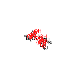 CCC(COCC(CC)(COC(=O)COc1ccc2ccccc2c1)COC(=O)C1CCCCC1C(=O)O)(COC(=O)CCCCC(=O)OCC(CC)(COCC(CC)(COC(=O)COc1ccc2ccccc2c1)COC(=O)C1CCCCC1C(=O)O)COC(=O)COc1ccc2ccccc2c1)COC(=O)COc1ccc2ccccc2c1